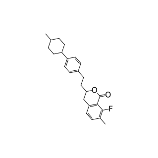 Cc1ccc2c(c1F)C(=O)OC(CCc1ccc(C3CCC(C)CC3)cc1)C2